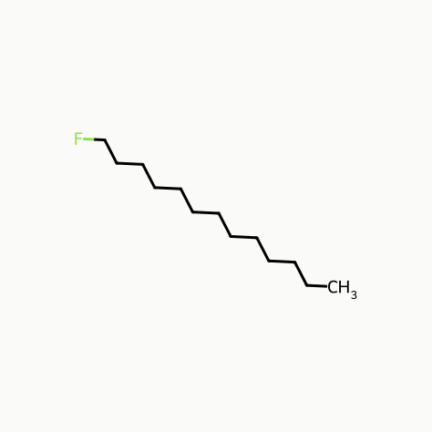 CCCCCCCCCCCCCF